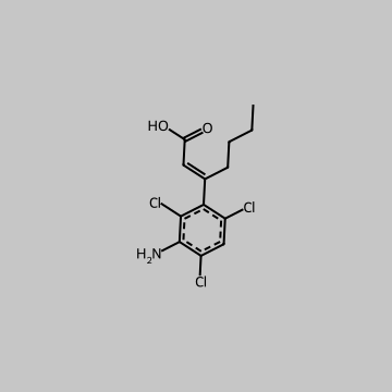 CCCCC(=CC(=O)O)c1c(Cl)cc(Cl)c(N)c1Cl